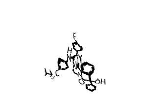 Cc1ccc(Nc2c(-c3ccc(F)cc3)nc3n2CCN(C(=O)C(O)(c2ccccc2)c2ccccc2)C3)cc1